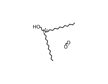 CCCCCCCCCCCC[N+](C)(CCO)CCCCCCCCCCCC.O=C[O-]